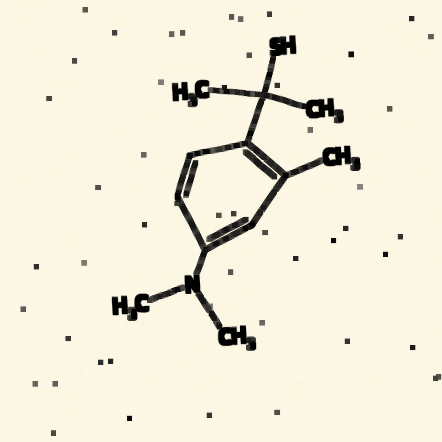 Cc1cc(N(C)C)ccc1C(C)(C)S